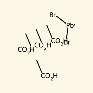 CC(=O)O.CC(=O)O.CC(=O)O.CC(=O)O.[Br][Pb][Br]